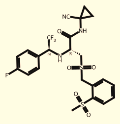 CS(=O)(=O)c1ccccc1CS(=O)(=O)C[C@H](N[C@@H](c1ccc(F)cc1)C(F)(F)F)C(=O)NC1(C#N)CC1